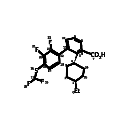 CC[C@H]1CC[C@H](c2c(C(=O)O)cccc2-c2ccc(SC(F)F)c(F)c2F)CC1